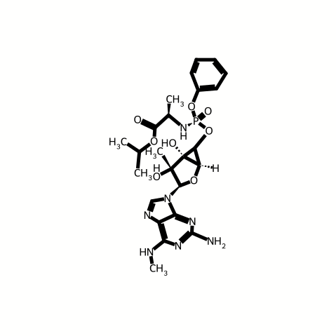 CNc1nc(N)nc2c1ncn2[C@@H]1O[C@@H]2C(O[P@@](=O)(N[C@H](C)C(=O)OC(C)C)Oc3ccccc3)[C@]2(O)[C@@]1(C)O